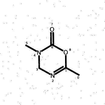 CC1=NCN(C)C(=O)O1